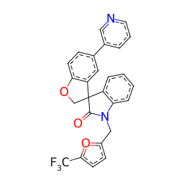 O=C1N(Cc2ccc(C(F)(F)F)o2)c2ccccc2C12COc1ccc(-c3cccnc3)cc12